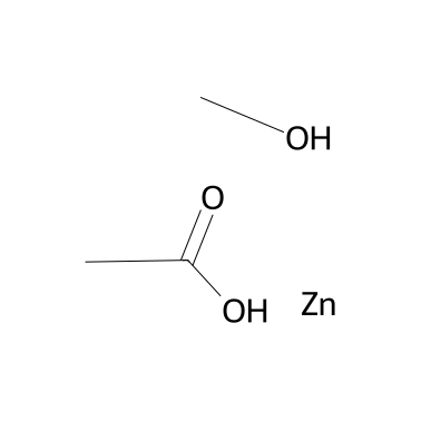 CC(=O)O.CO.[Zn]